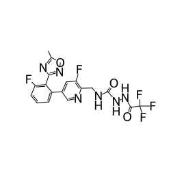 Cc1nc(-c2c(F)cccc2-c2cnc(CNC(=O)NNC(=O)C(F)(F)F)c(F)c2)no1